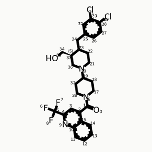 O=C(c1cc(C(F)(F)F)nc2ccccc12)N1CCC(N2CCC(Cc3ccc(Cl)c(Cl)c3)[C@H](CO)C2)CC1